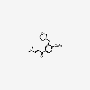 COc1ccc(C(=O)/C=C/N(C)C)cc1CC1CCOC1